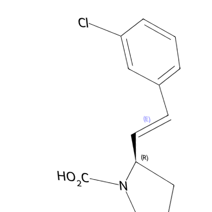 O=C(O)N1CCC[C@@H]1/C=C/c1cccc(Cl)c1